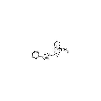 C[C@@H]1CCCN1CC1(CN[C@H]2CC2c2ccccc2)CC1